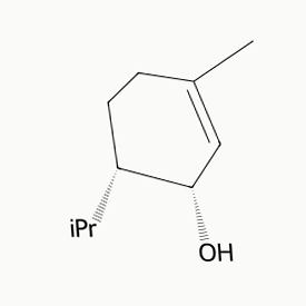 CC1=C[C@H](O)[C@H](C(C)C)CC1